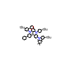 Cc1cc2c3c(c1)N(c1ccc(C(C)(C)C)cc1-c1ccccc1)c1cc(-c4ccccc4)ccc1B3c1ccc(N3c4ccc(C(C)(C)C)cc4C4(C)CC(C)(C)CC34C)cc1N2c1ccc(C(C)(C)C)cc1